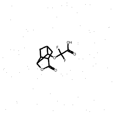 O=C1OC2C3CC(CC13)C2OC(F)(F)C(=O)O